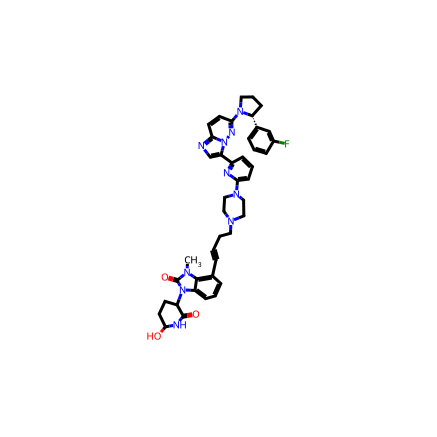 Cn1c(=O)n(C2CCC(O)NC2=O)c2cccc(C#CCCN3CCN(c4cccc(-c5cnc6ccc(N7CCC[C@@H]7c7cccc(F)c7)nn56)n4)CC3)c21